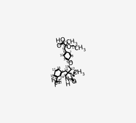 CCOC(C)(Cc1ccc(OCCC2(Cc3cccc(C(F)(F)F)c3)CNC(=O)N2C)cc1)C(=O)O